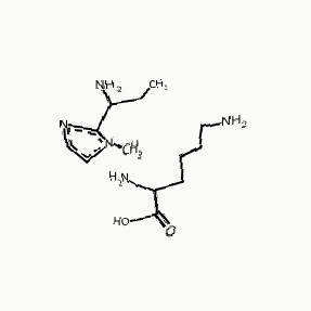 CCC(N)c1nccn1C.NCCCCC(N)C(=O)O